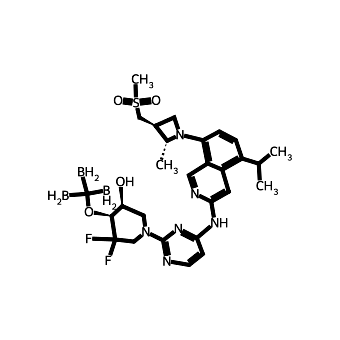 BC(B)(B)O[C@H]1[C@@H](O)CN(c2nccc(Nc3cc4c(C(C)C)ccc(N5C[C@H](CS(C)(=O)=O)[C@H]5C)c4cn3)n2)CC1(F)F